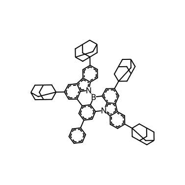 c1ccc(-c2cc3c4c(c2)-n2c5ccc(C67CC8CC(CC(C8)C6)C7)cc5c5cc(C67CC8CC(CC(C8)C6)C7)cc(c52)B4n2c4ccc(C56CC7CC(CC(C7)C5)C6)cc4c4cc(C56CC7CC(CC(C7)C5)C6)cc-3c42)cc1